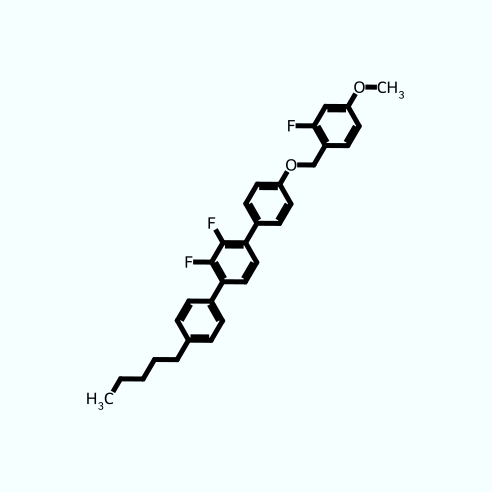 CCCCCc1ccc(-c2ccc(-c3ccc(OCc4ccc(OC)cc4F)cc3)c(F)c2F)cc1